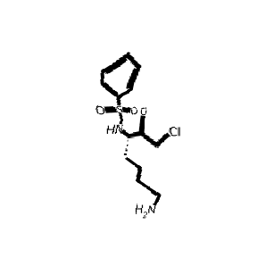 NCCCC[C@H](NS(=O)(=O)c1ccccc1)C(=O)CCl